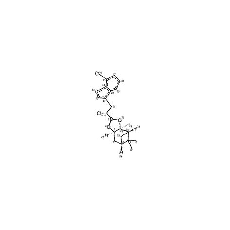 CC1(C)[C@@H]2C[C@H]3OB([C@H](Cl)Cc4coc5c(Cl)cccc45)O[C@@]3(C)[C@H]1C2